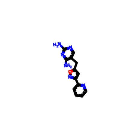 Nc1ncc(Cc2cc(-c3ccccn3)no2)c(N)n1